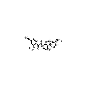 Cc1cc(C#N)cnc1C(=O)Nc1ccc(F)c(C2(C(F)F)COCC(N)=N2)c1